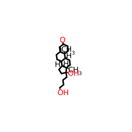 C[C@]12CCC(=O)C=C1CC[C@@H]1[C@H]2CC[C@@]2(C)[C@H]1CCC2(O)CCCCO